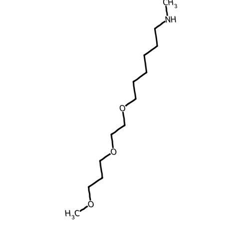 CNCCCCCCOCCOCCCOC